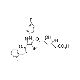 Cc1ccccc1CN(C)C(=O)c1nn(-c2ccc(F)cc2)c(OC[C@@H](O)C[C@@H](O)CC(=O)O)c1C(C)C